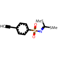 C#Cc1ccc(S(=O)(=O)N=C(SC)SC)cc1